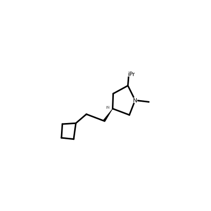 CC(C)C1C[C@H](CCC2CCC2)CN1C